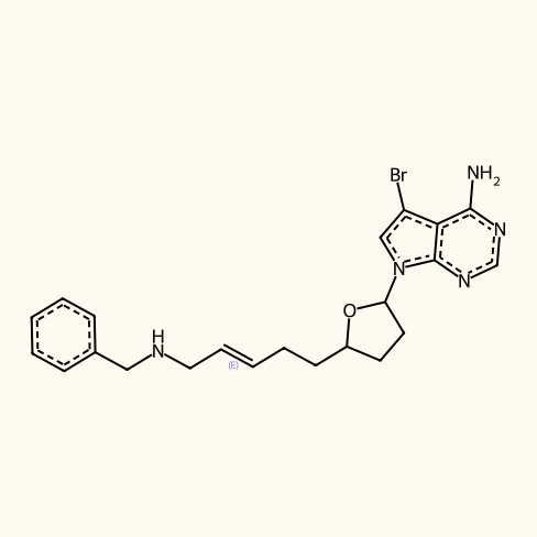 Nc1ncnc2c1c(Br)cn2C1CCC(CC/C=C/CNCc2ccccc2)O1